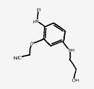 CCNc1ccc(NCCO)cc1OCC#N